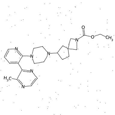 CCOC(=O)N1CC2(CCC(N3CCN(c4ncccc4-c4nccnc4C)CC3)C2)C1